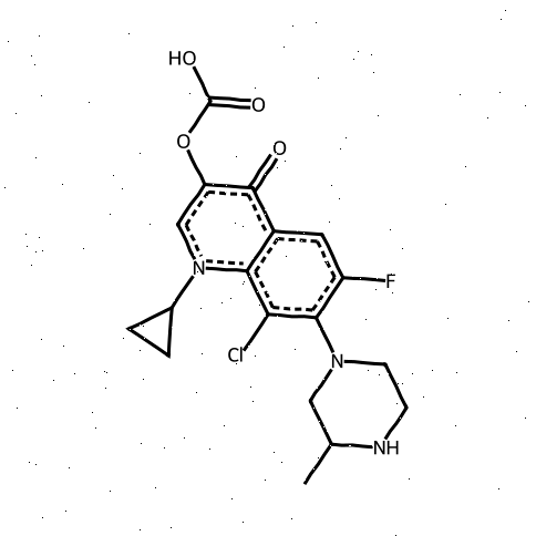 CC1CN(c2c(F)cc3c(=O)c(OC(=O)O)cn(C4CC4)c3c2Cl)CCN1